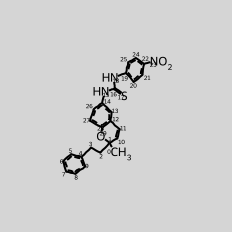 CC1(CCc2ccccc2)C=Cc2cc(NC(=S)Nc3ccc([N+](=O)[O-])cc3)ccc2O1